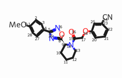 COc1ccc(-c2noc([C@H]3CCCCN3C(=O)COc3cccc(C#N)c3)n2)cc1